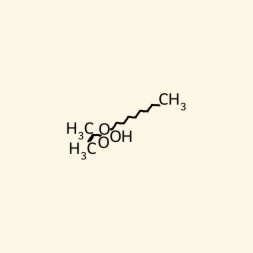 CC=C(C)C(=O)OC(O)CCCCCCCCC